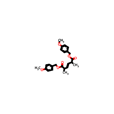 COc1ccc(COC(=O)C(C)/C=C/C(C)C(=O)OCc2ccc(OC)cc2)cc1